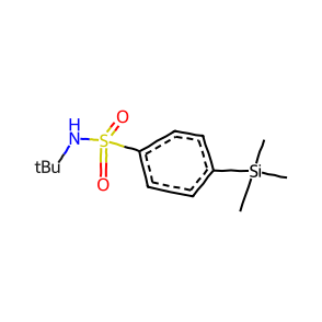 CC(C)(C)NS(=O)(=O)c1ccc([Si](C)(C)C)cc1